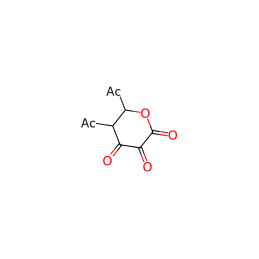 CC(=O)C1OC(=O)C(=O)C(=O)C1C(C)=O